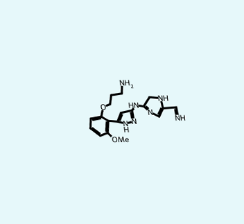 COc1cccc(OCCCN)c1-c1cc(NC2=NC=C(C=N)NC2)n[nH]1